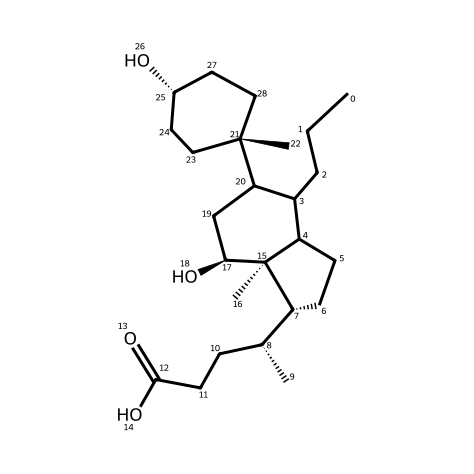 CCCC1C2CC[C@H]([C@H](C)CCC(=O)O)[C@@]2(C)[C@@H](O)CC1[C@]1(C)CC[C@H](O)CC1